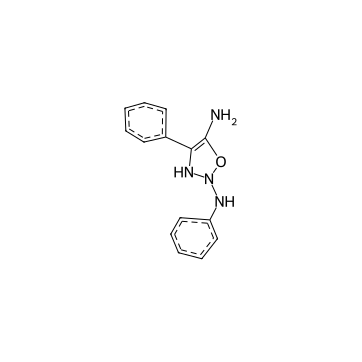 NC1=C(c2ccccc2)NN(Nc2ccccc2)O1